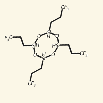 FC(F)(F)CC[SiH]1O[SiH](CCC(F)(F)F)O[SiH](CCC(F)(F)F)O[SiH](CCC(F)(F)F)O1